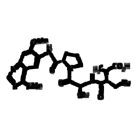 CNc1ncnc2cc(OC)c(NC(=O)[C@@H]3CCCN3C(=O)[C@@H](NC(=O)[C@H](CC(C)(C)C)N(C)C(=O)O)C(C)(C)C)cc12